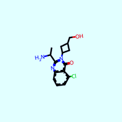 CC(N)c1nc2cccc(Cl)c2c(=O)n1C1CC(CO)C1